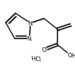 C=C(Cn1cccn1)C(=O)O.Cl